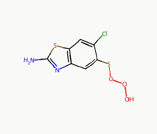 Nc1nc2cc(SOOO)c(Cl)cc2s1